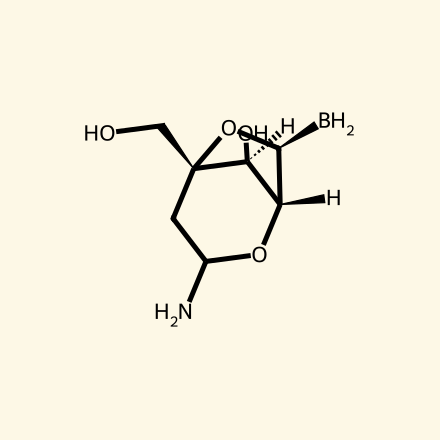 B[C@@H]1O[C@@]2(CO)CC(N)O[C@@H]1[C@@H]2O